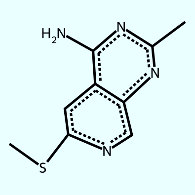 CSc1cc2c(N)nc(C)nc2cn1